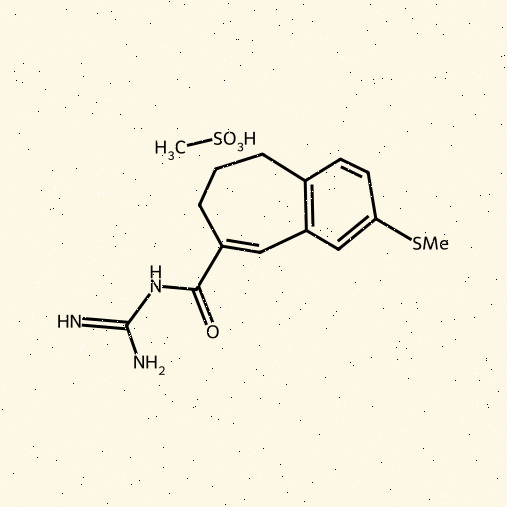 CS(=O)(=O)O.CSc1ccc2c(c1)C=C(C(=O)NC(=N)N)CCC2